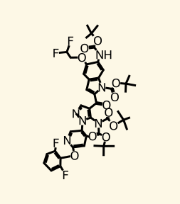 Cc1cc(Oc2c(F)cccc2F)ncc1-n1ncc(C(=O)c2cc3cc(OCC(F)F)c(NC(=O)OC(C)(C)C)cc3n2C(=O)OC(C)(C)C)c1N(C(=O)OC(C)(C)C)C(=O)OC(C)(C)C